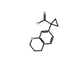 O=C(Cl)C1(c2ccc3c(c2)OCCC3)CC1